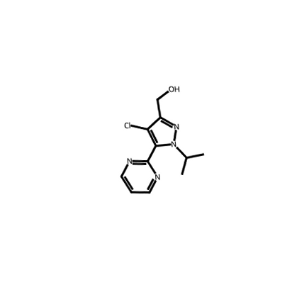 CC(C)n1nc(CO)c(Cl)c1-c1ncccn1